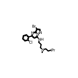 CC(C)CCN(C)CCCNc1cc(-c2ccccc2Cl)nc2c(Br)cnn12